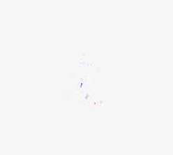 CC(C)(C)OC(=O)C[C@H](NC(=O)CNC(=O)[C@H](CCCN=C(NC(=O)OC(C)(C)C)NC(=O)OC(C)(C)C)NC(=O)OC(C)(C)C)C(=O)O